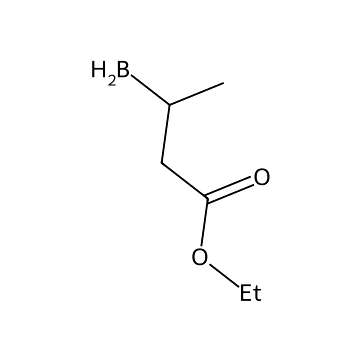 BC(C)CC(=O)OCC